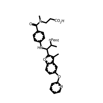 CCCCCC(C)C(Nc1ccc(C(=O)N(C)CCC(=O)O)cc1)c1oc2ccc(Oc3ccccn3)cc2c1C